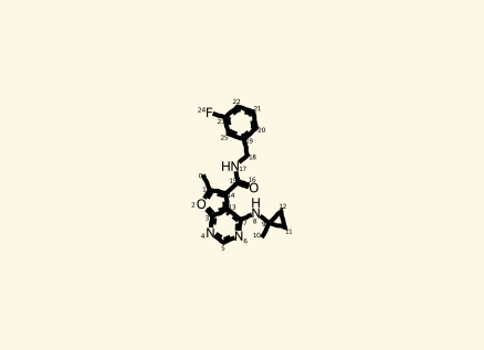 Cc1oc2ncnc(NC3(C)CC3)c2c1C(=O)NCc1cccc(F)c1